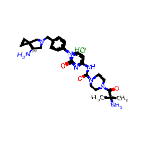 CC(C)(N)C(=O)N1CCN(C(=O)Nc2ccn(-c3ccc(CN4C[C@@H](N)C5(CC5)C4)cc3)c(=O)n2)CC1.Cl